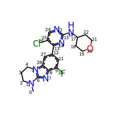 CN1CCCn2c1nc1c(F)cc(-c3nc(NC4CCOCC4)ncc3Cl)cc12